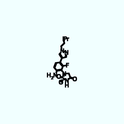 CC(C)CCn1cc(-c2ccc(N)c(N3CC(=O)NS3(=O)=O)c2F)cn1